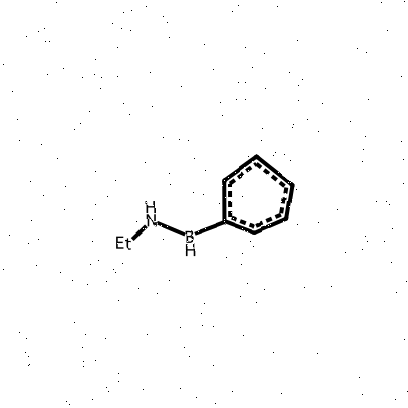 CCNBc1ccccc1